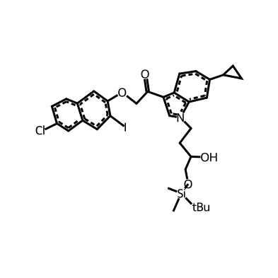 CC(C)(C)[Si](C)(C)OCC(O)CCn1cc(C(=O)COc2cc3ccc(Cl)cc3cc2I)c2ccc(C3CC3)cc21